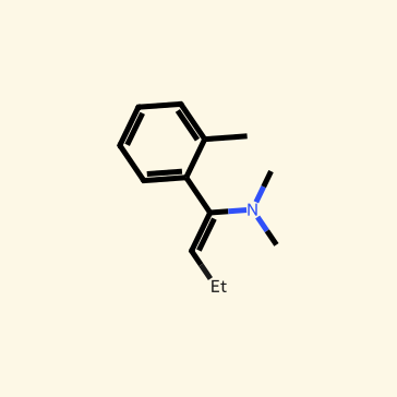 CC/C=C(/c1ccccc1C)N(C)C